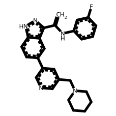 C=C(Nc1cccc(F)c1)c1n[nH]c2ccc(-c3cncc(CN4CCCCC4)c3)cc12